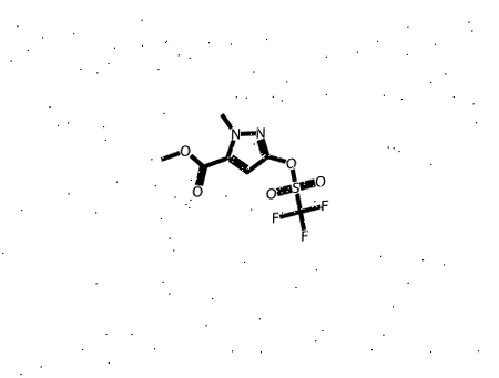 COC(=O)c1cc(OS(=O)(=O)C(F)(F)F)nn1C